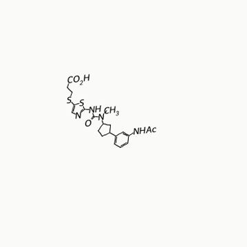 CC(=O)Nc1cccc(C2CCC(N(C)C(=O)Nc3ncc(SCCC(=O)O)s3)C2)c1